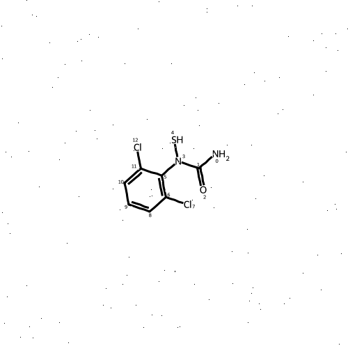 NC(=O)N(S)c1c(Cl)cccc1Cl